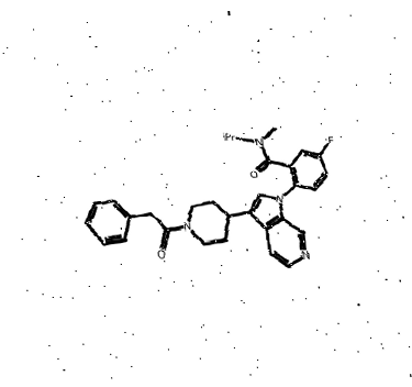 CC(C)N(C)C(=O)c1cc(F)ccc1-n1cc(C2CCN(C(=O)Cc3ccccc3)CC2)c2ccncc21